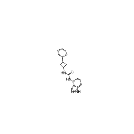 O=C(Nc1cccc2[nH]ncc12)NC1CC(c2ccccc2)C1